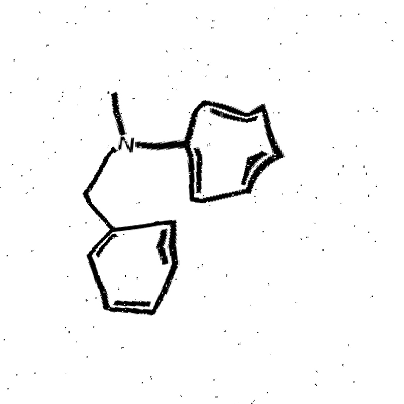 [CH2]N(Cc1ccccc1)c1ccccc1